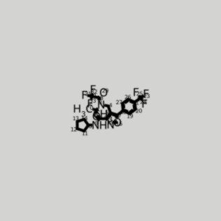 CC(C)N(Cc1c(C(=O)NC2CCCC2)noc1-c1ccc(C(F)(F)F)cc1)C(=O)C(F)(F)F